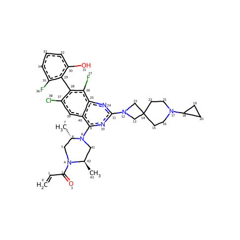 C=CC(=O)N1C[C@H](C)N(c2nc(N3CC4(CCN(C5CC5)CC4)C3)nc3c(F)c(-c4c(O)cccc4F)c(Cl)cc23)C[C@H]1C